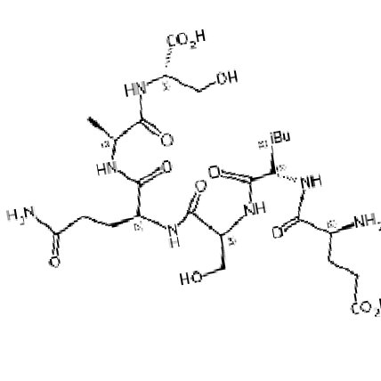 CC[C@H](C)[C@H](NC(=O)[C@@H](N)CCC(=O)O)C(=O)N[C@@H](CO)C(=O)N[C@@H](CCC(N)=O)C(=O)N[C@@H](C)C(=O)N[C@@H](CO)C(=O)O